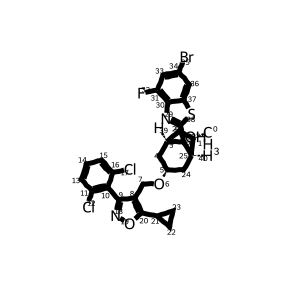 C[C@H]1C[C@@H]2C[C@@H](OCc3c(-c4c(Cl)cccc4Cl)noc3C3CC3)C[C@H]1[C@]2(O)c1nc2c(F)cc(Br)cc2s1